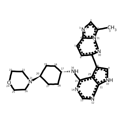 Cc1cnc2ccc(-c3c[nH]c4ncnc(N[C@H]5CC[C@H](N6CCOCC6)CC5)c34)nn12